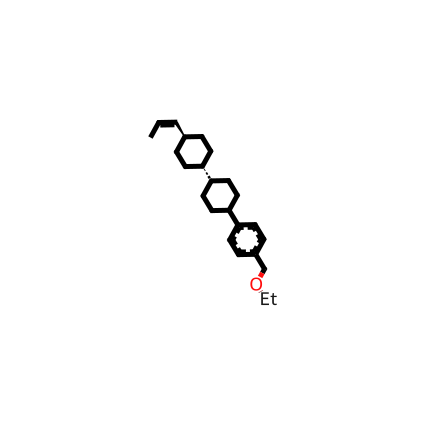 C/C=C\[C@H]1CC[C@H](C2CCC(c3ccc(COCC)cc3)CC2)CC1